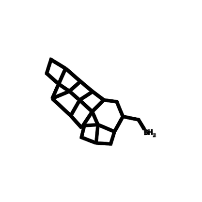 BCC1CC2C3C4C5CCC56C5C7C8C9CC%10CC1C%109C28C37C456